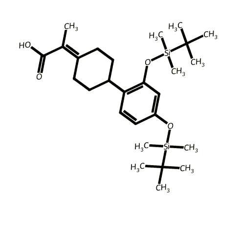 CC(C(=O)O)=C1CCC(c2ccc(O[Si](C)(C)C(C)(C)C)cc2O[Si](C)(C)C(C)(C)C)CC1